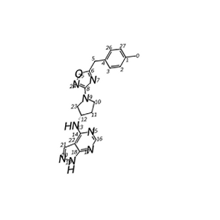 Cc1ccc(Cc2nc(N3CC[C@H](Nc4ncnc5[nH]ncc45)C3)no2)cc1